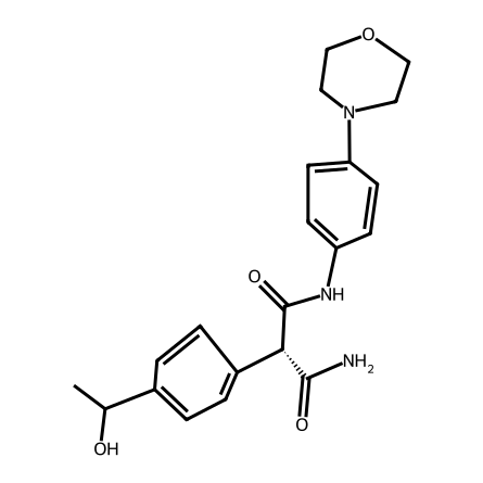 CC(O)c1ccc([C@@H](C(N)=O)C(=O)Nc2ccc(N3CCOCC3)cc2)cc1